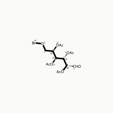 CC(=O)O[C@H]([C@H](OC(C)=O)[C@H](C=O)OC(C)=O)[C@@H](COBr)OC(C)=O